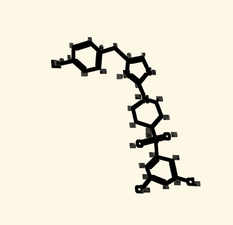 CCc1ccc(Cc2csc(N3CCC(S(=O)(=O)c4cc(Cl)cc(Cl)c4)CC3)n2)cc1